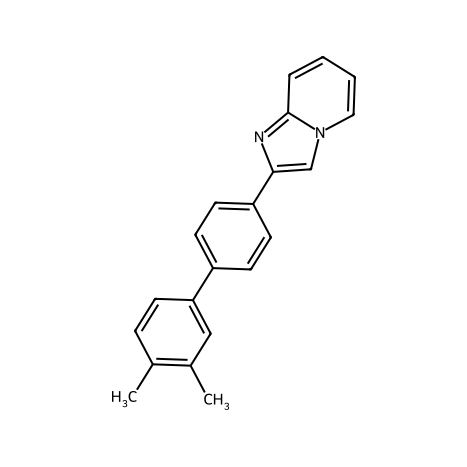 Cc1ccc(-c2ccc(-c3cn4ccccc4n3)cc2)cc1C